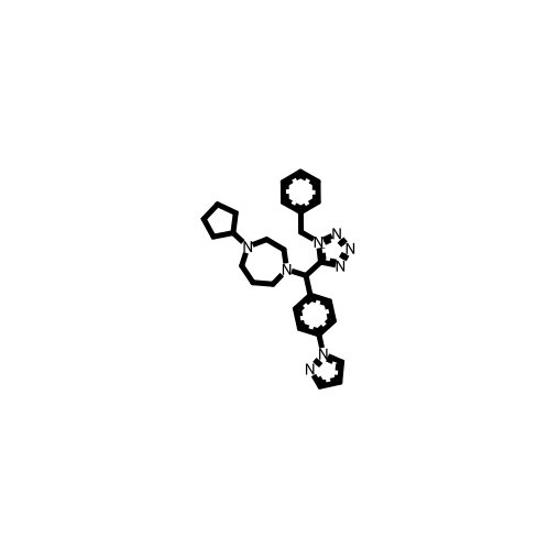 c1ccc(Cn2nnnc2C(c2ccc(-n3cccn3)cc2)N2CCCN(C3CCCC3)CC2)cc1